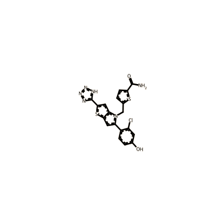 NC(=O)c1ccc(Cn2c(-c3ccc(O)cc3Cl)cc3sc(-c4nnn[nH]4)cc32)s1